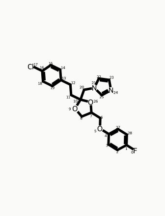 Fc1ccc(OCC2COC(CCc3ccc(Cl)cc3)(Cn3ccnc3)O2)cc1